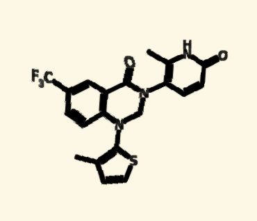 Cc1ccsc1N1CN(c2ccc(=O)[nH]c2C)C(=O)c2cc(C(F)(F)F)ccc21